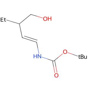 CCC(C=CNC(=O)OC(C)(C)C)CO